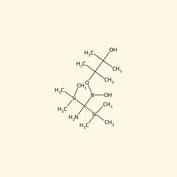 CC(C)(O)C(C)(C)OB(O)C(N)([Si](C)(C)C)[Si](C)(C)C